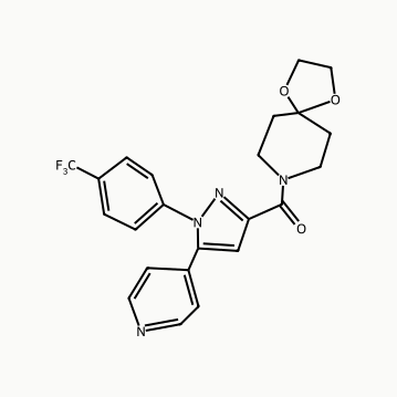 O=C(c1cc(-c2ccncc2)n(-c2ccc(C(F)(F)F)cc2)n1)N1CCC2(CC1)OCCO2